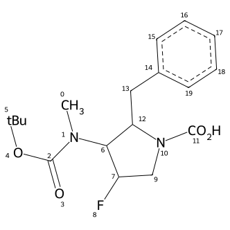 CN(C(=O)OC(C)(C)C)C1C(F)CN(C(=O)O)C1Cc1ccccc1